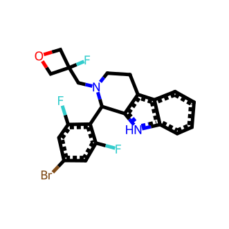 Fc1cc(Br)cc(F)c1C1c2[nH]c3ccccc3c2CCN1CC1(F)COC1